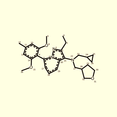 CCc1nn2c(-c3c(OC)cc(C)cc3OC)cccc2c1N(CC1CC1)CC1CCOC1